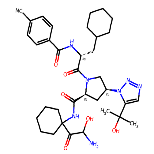 CC(C)(O)c1cnnn1[C@H]1C[C@@H](C(=O)NC2(C(=O)C(N)O)CCCCC2)N(C(=O)[C@@H](CC2CCCCC2)NC(=O)c2ccc(C#N)cc2)C1